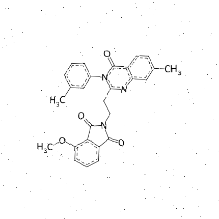 COc1cccc2c1C(=O)N(CCc1nc3cc(C)ccc3c(=O)n1-c1cccc(C)c1)C2=O